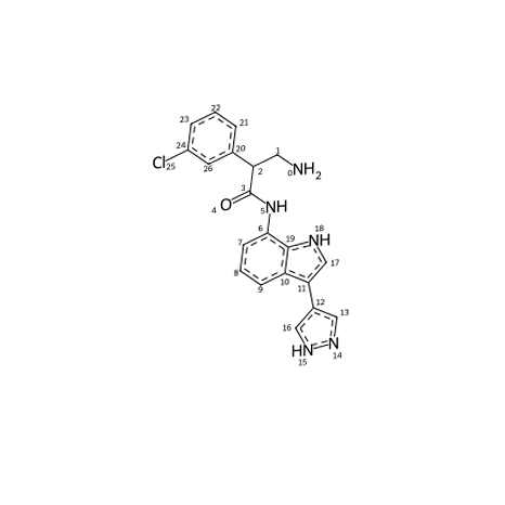 NCC(C(=O)Nc1cccc2c(-c3cn[nH]c3)c[nH]c12)c1cccc(Cl)c1